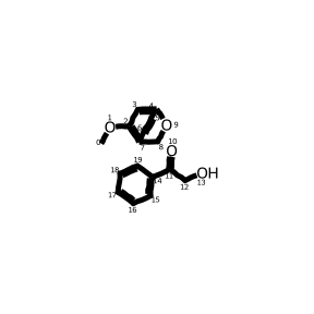 COc1cc2ccc1CO2.O=C(CO)c1ccccc1